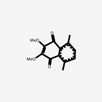 COC1=C(OC)C(=O)c2c(C)ccc(C)c2C1=O